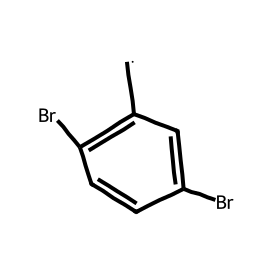 [CH2]c1cc(Br)ccc1Br